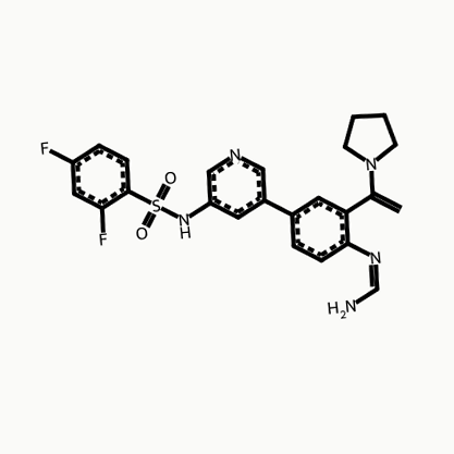 C=C(c1cc(-c2cncc(NS(=O)(=O)c3ccc(F)cc3F)c2)ccc1/N=C\N)N1CCCC1